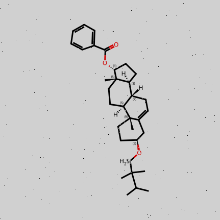 CC(C)C(C)(C)[SiH2]O[C@H]1CC[C@@]2(C)C(=CC[C@H]3[C@@H]4CC[C@@H](OC(=O)c5ccccc5)[C@@]4(C)CC[C@@H]32)C1